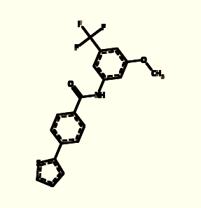 COc1cc(NC(=O)c2ccc(-c3cccs3)cc2)cc(C(F)(F)F)c1